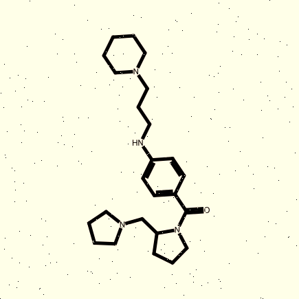 O=C(c1ccc(NCCCN2CCCCC2)cc1)N1CCCC1CN1CCCC1